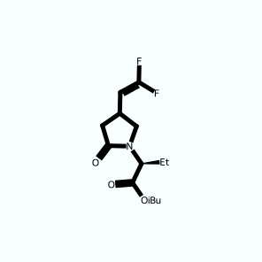 CC[C@@H](C(=O)OCC(C)C)N1CC(C=C(F)F)CC1=O